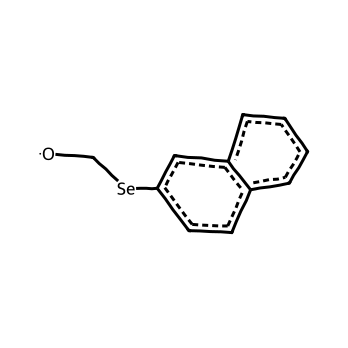 [O]C[Se]c1ccc2ccccc2c1